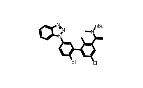 C=C(c1cc(Cl)cc(-c2cc(-n3nnc4ccccc43)ccc2CC)c1C)N(C)CCCC